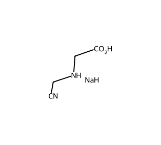 N#CCNCC(=O)O.[NaH]